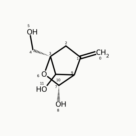 C=C1C[C@]2(CO)O[C@@H](O)C1C2O